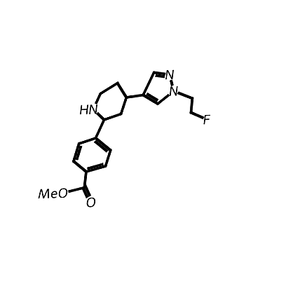 COC(=O)c1ccc(C2CC(c3cnn(CCF)c3)CCN2)cc1